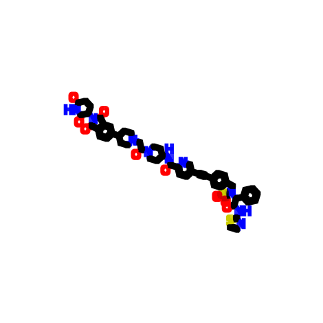 O=C1CCC(N2C(=O)c3ccc(C4CCN(CC(=O)N5CCC(NC(=O)c6ccc(C#Cc7ccc8c(c7)S(=O)(=O)N(C(C(=O)Nc7nccs7)c7ccccc7)C8)cn6)CC5)CC4)cc3C2=O)C(=O)N1